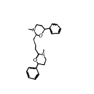 CN1CCC(c2ccccc2)OC1CCCC1OC(c2ccccc2)CCN1C